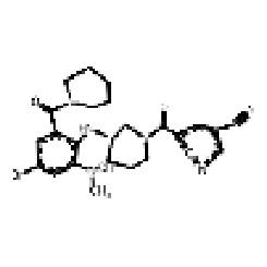 CN(O)c1cc(Br)cc(C(=O)N2CCCCC2)c1N[C@@H]1CCCN(C(=O)c2cncc(C#N)c2)C1